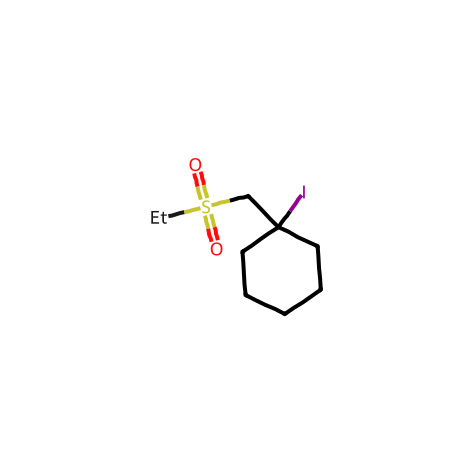 CCS(=O)(=O)CC1(I)CCCCC1